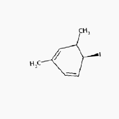 CC1=CC(C)[C@@H](I)C=C1